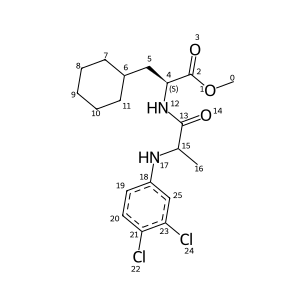 COC(=O)[C@H](CC1CCCCC1)NC(=O)C(C)Nc1ccc(Cl)c(Cl)c1